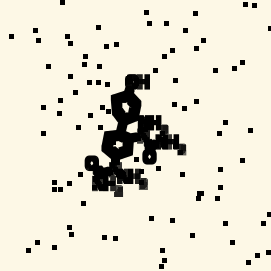 NC(=O)N(N)c1ccc(-c2ccc(O)cc2)c(N(N)C(N)=O)c1